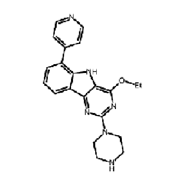 CCOc1nc(N2CCNCC2)nc2c1[nH]c1c(-c3ccncc3)cccc12